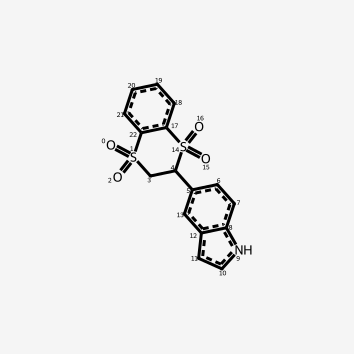 O=S1(=O)CC(c2ccc3[nH]ccc3c2)S(=O)(=O)c2ccccc21